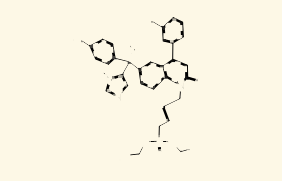 CCOP(=O)(C/C=C/Cn1c(=O)cc(-c2cccc(Cl)c2)c2cc([C@](N)(c3ccc(Cl)cc3)c3cncn3C)ccc21)OCC